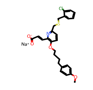 COc1ccc(CCCCOc2ccc(CSCc3ccccc3Cl)nc2C=CC(=O)[O-])cc1.[Na+]